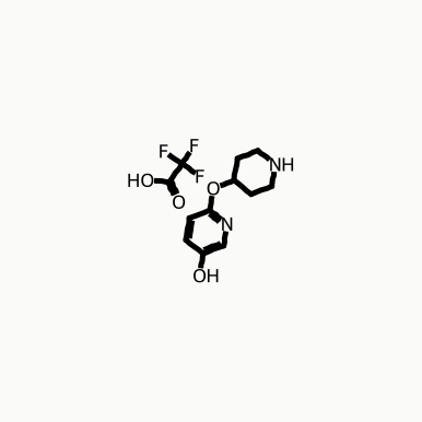 O=C(O)C(F)(F)F.Oc1ccc(OC2CCNCC2)nc1